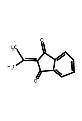 CC(C)=C1C(=O)c2ccccc2C1=O